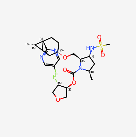 C[C@@H]1C[C@H](NS(C)(=O)=O)[C@H](CO[C@H]2CC[C@]3(c4ncc(F)cn4)C(C2)[C@@H]3C)N1C(=O)O[C@H]1COC[C@@H]1F